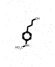 O=C(O)Nc1ccc(CCCO)cc1